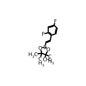 CC1(C)OB(C=Cc2ccc(F)cc2F)OC1(C)C